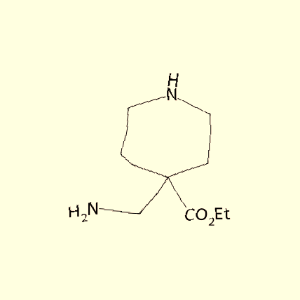 CCOC(=O)C1(CN)CCNCC1